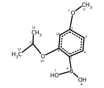 COc1ccc(B(O)O)c(OC(C)C)c1